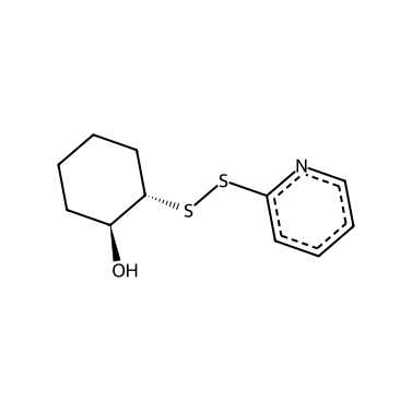 O[C@H]1CCCC[C@@H]1SSc1ccccn1